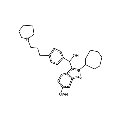 COc1ccc2c(C(O)c3ccc(CCCN4CCCCC4)cc3)c(C3CCCCCC3)sc2c1